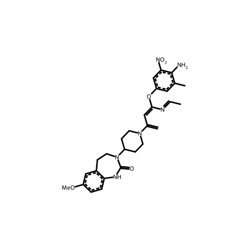 C=C(/C=C(\N=CC)Oc1cc(C)c(N)c([N+](=O)[O-])c1)N1CCC(N2CCc3cc(OC)ccc3NC2=O)CC1